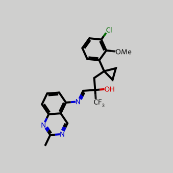 COc1c(Cl)cccc1C1(CC(O)(C=Nc2cccc3nc(C)ncc23)C(F)(F)F)CC1